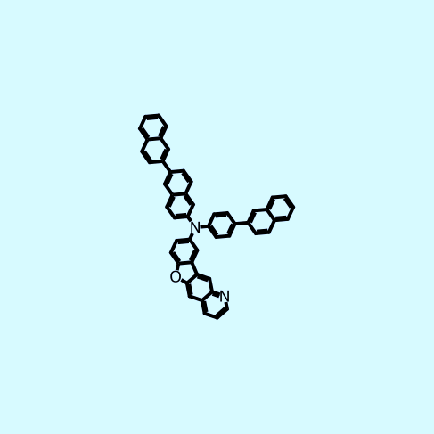 c1ccc2cc(-c3ccc(N(c4ccc5cc(-c6ccc7ccccc7c6)ccc5c4)c4ccc5oc6cc7cccnc7cc6c5c4)cc3)ccc2c1